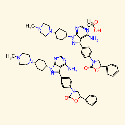 CC(=O)O.CN1CCN([C@H]2CC[C@@H](n3nc(-c4ccc(N5CC(c6ccccc6)OC5=O)cc4)c4c(N)ncnc43)CC2)CC1.CN1CCN([C@H]2CC[C@H](n3nc(-c4ccc(N5CC(c6ccccc6)OC5=O)cc4)c4c(N)ncnc43)CC2)CC1